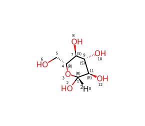 [2H][C@@]1(O)O[C@H](CO)[C@@H](O)[C@H](O)[C@H]1O